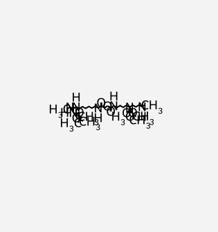 CN=C(NCCCCCCNC(=O)COC(=O)NCCCCN(CCCNC)C(=O)OC(C)(C)C)NC(=O)OC(C)(C)C